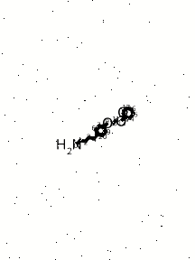 NCCCCc1ccc(OCCOC2CCCCO2)cc1